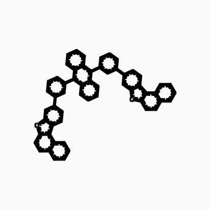 c1cc(-c2ccc3c(c2)oc2ccc4ccccc4c23)cc(-c2c3ccccc3c(-c3cccc(-c4ccc5c(c4)oc4ccc6ccccc6c45)c3)c3ccccc23)c1